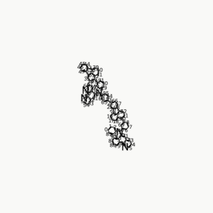 c1ccc(N(c2cccc(-c3ccc4c5c(cccc35)-c3cc(-c5ccc(N(c6cccc(-c7ccc8c9c(cccc79)-c7ccccc7-8)c6)c6cc7cccnc7c7ncccc67)cc5)ccc3-4)c2)c2cc3cccnc3c3ccccc23)cc1